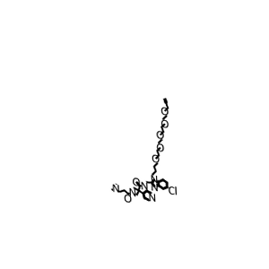 C#CCOCCOCCOCCOCCOCCCCn1c(CN2C(=O)C3(CN(C(=O)CCN(C)C)C3)c3ccncc32)nc2cc(Cl)ccc21